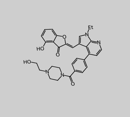 CCn1cc(C=C2Oc3cccc(O)c3C2=O)c2c(-c3ccc(C(=O)N4CCN(CCO)CC4)cc3)ccnc21